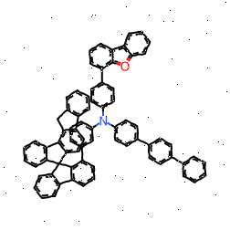 c1ccc(-c2ccc(-c3ccc(N(c4ccc(-c5cccc6c5oc5ccccc56)cc4)c4cccc(-c5cccc6c5C5(c7ccccc7-6)c6ccccc6-c6c5ccc5c6Cc6ccccc6-5)c4)cc3)cc2)cc1